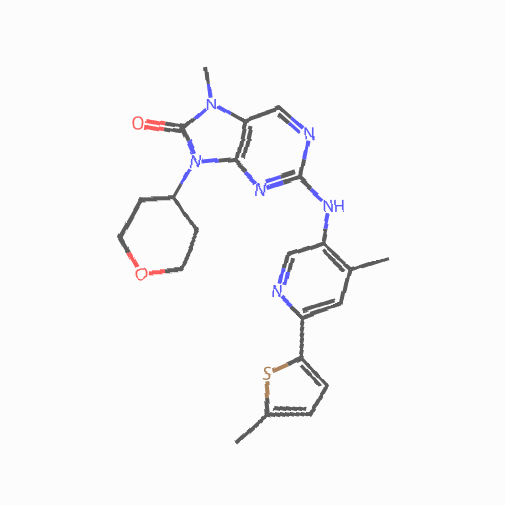 Cc1ccc(-c2cc(C)c(Nc3ncc4c(n3)n(C3CCOCC3)c(=O)n4C)cn2)s1